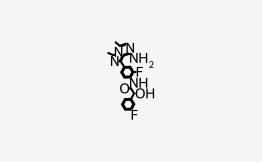 Cc1cnc(N)c2c(-c3ccc(NC(=O)[C@H](O)c4cccc(F)c4)c(F)c3)nc(C)n12